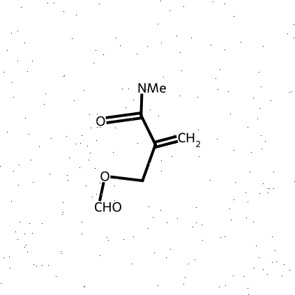 C=C(COC=O)C(=O)NC